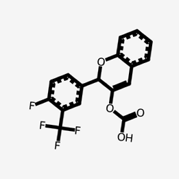 O=C(O)OC1=Cc2ccccc2OC1c1ccc(F)c(C(F)(F)F)c1